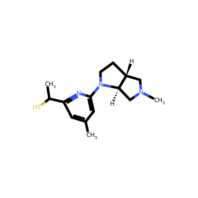 Cc1cc(C(C)S)nc(N2CC[C@@H]3CN(C)C[C@H]32)c1